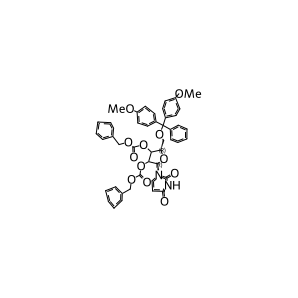 COc1ccc(C(OC[C@H]2O[C@@H](n3ccc(=O)[nH]c3=O)C(OC(=O)OCc3ccccc3)C2OC(=O)OCc2ccccc2)(c2ccccc2)c2ccc(OC)cc2)cc1